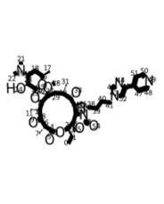 CC[C@H]1OC(=O)[C@H](C)C(=O)[C@H](C)[C@@H](O[C@@H]2O[C@H](C)C[C@H](N(C)C)[C@H]2O)[C@@](C)(OC)C[C@H](C)C(=O)[C@@H](C)[C@H]2N(CCCCn3cnc(-c4ccncc4)c3)C(=O)O[C@]12C